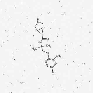 Cc1cc(Cl)ccc1OCC(C)(C)NC(=O)C1C2CNCC21